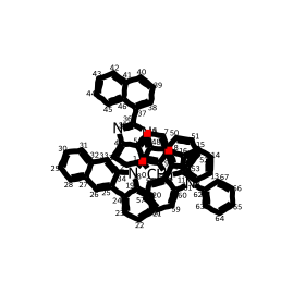 CC1C/C=C(c2ccc3c(oc4ccccc43)c2-n2c3ccccc3c3cc4ccccc4cc32)/N=C(c2cccc3ccccc23)\N=C/1c1cccc2c1c1ccccc1n2-c1ccccc1